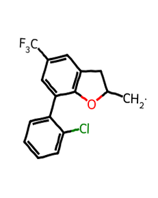 [CH2]C1Cc2cc(C(F)(F)F)cc(-c3ccccc3Cl)c2O1